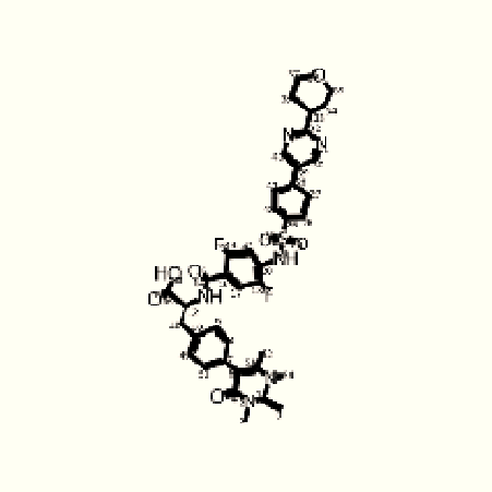 C=C1N(C)C(=O)C(c2ccc(C[C@H](NC(=O)c3cc(F)c(NS(=O)(=O)c4ccc(-c5cnc(C6CCOCC6)nc5)cc4)cc3F)C(=O)O)cc2)=C(C)N1C